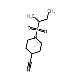 CCC(C)S(=O)(=O)N1CCC(C#N)CC1